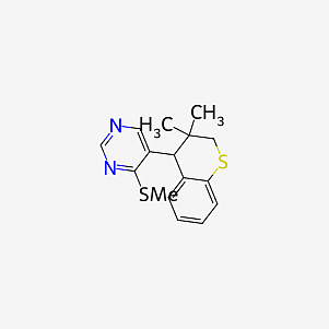 CSc1ncncc1C1c2ccccc2SCC1(C)C